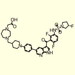 O=C(O)CN1CCCN(CC2CCN(c3ccc(-c4cnc5[nH]cc(C(=O)c6c(F)ccc(NS(=O)(=O)N7CC[C@@H](F)C7)c6F)c5c4)cc3)CC2)CC1